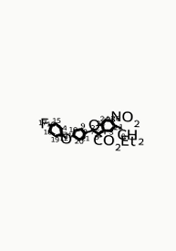 C=Cc1cc2c(C(=O)OCC)c(-c3ccc(Oc4ccc(F)cc4)cc3)oc2cc1[N+](=O)[O-]